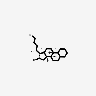 CC(C)CCC[C@@H](C)[C@H]1C(O)C[C@H]2[C@@H]3CCC4CCCC[C@]4(C)[C@H]3CC[C@]12C